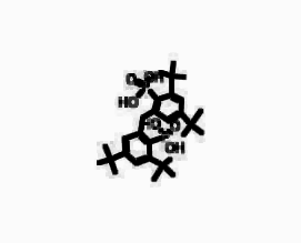 CC(C)(C)c1cc(Cc2cc(C(C)(C)C)cc(C(C)(C)C)c2P(=O)(O)O)c(P(=O)(O)O)c(C(C)(C)C)c1